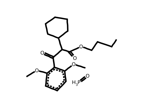 CCCCOC(=O)C(C(=O)c1c(OC)cccc1OC)C1CCCCC1.O=[PH3]